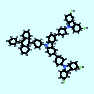 Fc1ccc2c(c1)c1cc(F)ccc1n2-c1ccc(-c2ccc3c(c2)c2cc(-c4ccc(-n5c6ccc(F)cc6c6cc(F)ccc65)cc4)ccc2n3-c2ccc(-c3c4ccccc4c(-c4ccccc4)c4ccccc34)cc2)cc1